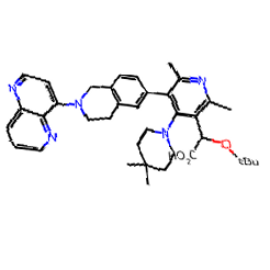 Cc1nc(C)c(C(OC(C)(C)C)C(=O)O)c(N2CCC(C)(C)CC2)c1-c1ccc2c(c1)CCN(c1ccnc3cccnc13)C2